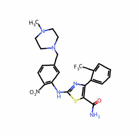 CN1CCN(Cc2ccc([N+](=O)[O-])c(Nc3nc(-c4ccccc4C(F)(F)F)c(C(N)=O)s3)c2)CC1